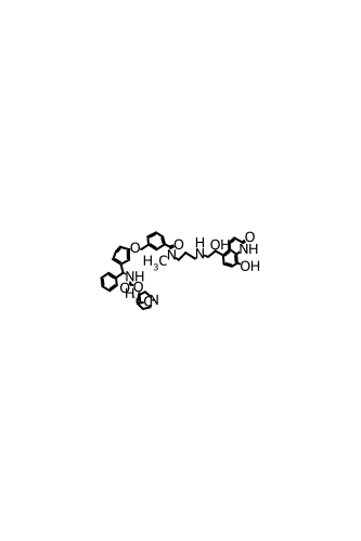 CN(CCCNC[C@H](O)c1ccc(O)c2[nH]c(=O)ccc12)C(=O)c1cccc(COc2cccc([C@@H](NC(=O)O[C@H]3CN4CCC3CC4)c3ccccc3)c2)c1